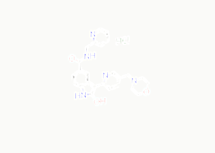 Cl.O=C(NCc1ccccn1)c1ccc2[nH]c(O)c(-c3ccc(CN4CCOCC4)cn3)c2c1